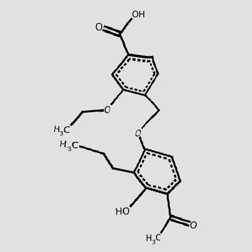 CCCc1c(OCc2ccc(C(=O)O)cc2OCC)ccc(C(C)=O)c1O